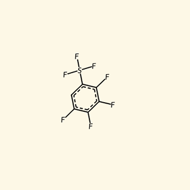 Fc1cc(S(F)(F)F)c(F)c(F)c1F